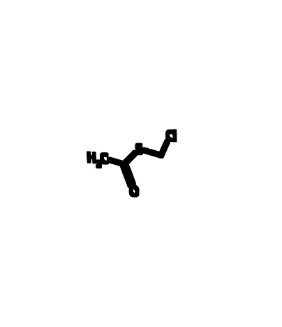 CC(=O)SCCl